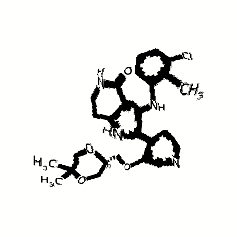 Cc1c(Cl)cccc1Nc1c(-c2ccncc2OC[C@@H]2COC(C)(C)CO2)[nH]c2c1C(=O)NCC2